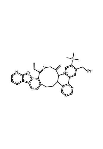 C=C/C1=N/CC(=C)C2C(CCc3ccc4c(oc5ncccc54)c31)c1ccccc1-c1cc(CC(C)C)c([Si](C)(C)C)c[n+]12